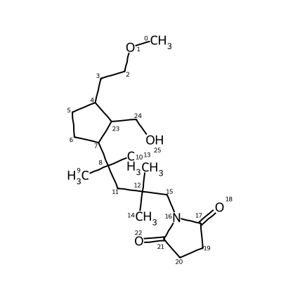 COCCC1CCC(C(C)(C)CC(C)(C)CN2C(=O)CCC2=O)C1CO